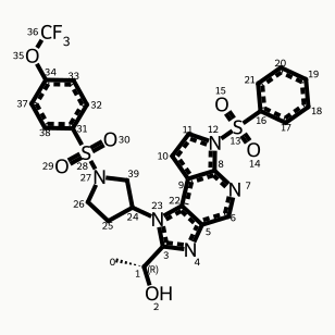 C[C@@H](O)c1nc2cnc3c(ccn3S(=O)(=O)c3ccccc3)c2n1C1CCN(S(=O)(=O)c2ccc(OC(F)(F)F)cc2)C1